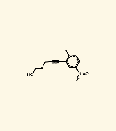 Cc1ccc([N+](=O)[O-])cc1C#CCCCO